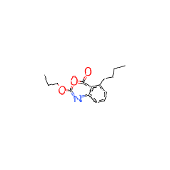 CCCCc1cccc2nc(OCCC)oc(=O)c12